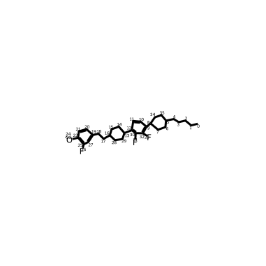 CCCCCC1CCC(c2ccc(C3CCC(CCc4ccc(OC)c(F)c4)CC3)c(F)c2F)CC1